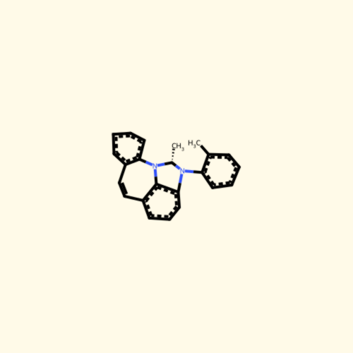 Cc1ccccc1N1c2cccc3c2N(c2ccccc2C=C3)[C@@H]1C